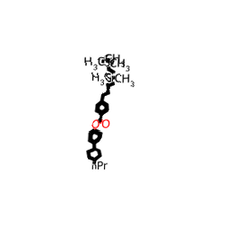 CCCC1CC=C(c2ccc(OC(=O)c3ccc(CCCC[Si](C)(C)CC[Si](C)(C)C)cc3)cc2)CC1